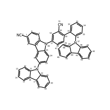 N#Cc1ccc2c(c1)c1cc(-n3c4ccccc4c4ccccc43)ccc1n2-c1ccc(-c2ccccc2-n2c3ccccc3c3ccccc32)c(C#N)c1